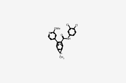 COc1cc(-c2c(C(=O)Nc3ccc(Cl)c(Cl)c3)c3oc2c2c3[C@@H]2C)ccn1